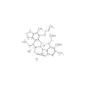 C=CCOc1c(C)c2c(c3c1CC1[C@H]4c5c(cc(C)c(OC)c5OCOC)C5[C@@H]([C@H](C#N)N1[C@H]3CO)N54)OCO2